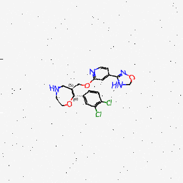 Clc1ccc([C@@H]2OCCNC[C@H]2COc2cc(C3=NOCN3)ccn2)cc1Cl